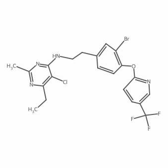 CCc1nc(C)nc(NCCc2ccc(Oc3ccc(C(F)(F)F)cn3)c(Br)c2)c1Cl